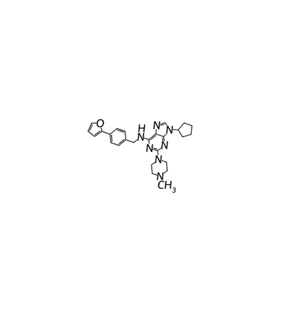 CN1CCN(c2nc(NCc3ccc(-c4ccco4)cc3)c3ncn(C4CCCC4)c3n2)CC1